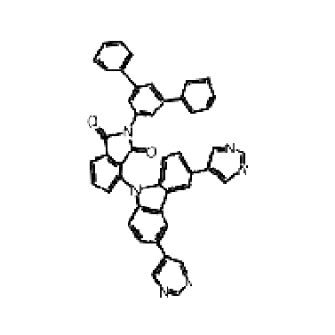 O=C1c2cccc(-n3c4ccc(-c5cncnc5)cc4c4cc(-c5cncnc5)ccc43)c2C(=O)N1c1cc(-c2ccccc2)cc(-c2ccccc2)c1